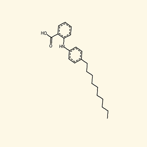 CCCCCCCCCCc1ccc(Nc2ccccc2C(=O)O)cc1